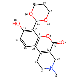 CN1CCc2c(c(=O)oc3c(C4OCCCO4)c(O)ccc23)C1